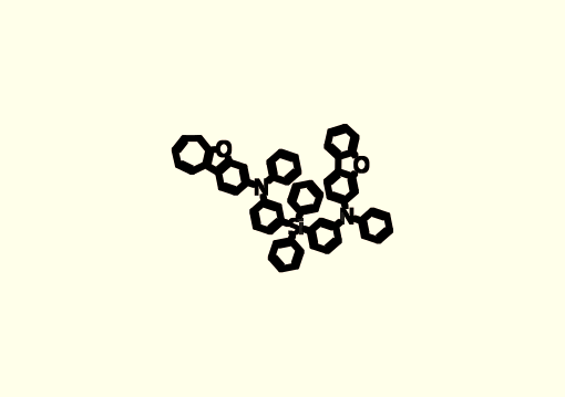 C1=CCc2oc3cc(N(c4ccccc4)c4cccc([Si](c5ccccc5)(c5ccccc5)c5cccc(N(c6ccccc6)c6ccc7c(c6)oc6ccccc67)c5)c4)ccc3c2C=C1